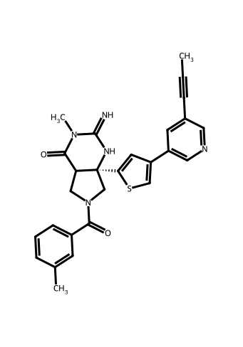 CC#Cc1cncc(-c2csc([C@]34CN(C(=O)c5cccc(C)c5)CC3C(=O)N(C)C(=N)N4)c2)c1